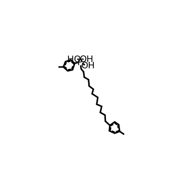 Cc1ccc(CCCCCCCCCCCCCP(O)(O)(O)c2ccc(C)cc2)cc1